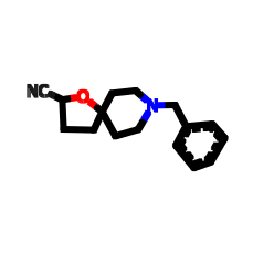 N#CC1CCC2(CCN(Cc3ccccc3)CC2)O1